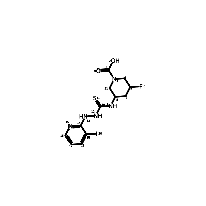 O=C(O)N1CC(F)CC(NC(=S)NNc2ncccc2I)C1